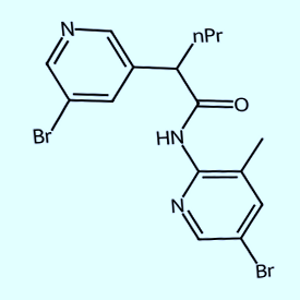 CCCC(C(=O)Nc1ncc(Br)cc1C)c1cncc(Br)c1